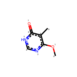 COc1nc[nH]c(=O)c1C